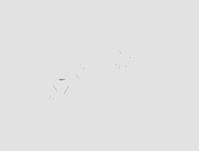 CC(C)(C)OC(=O)N[C@@H](CCCCNC(=O)Oc1ccc([N+](=O)[O-])cc1)C(=O)O